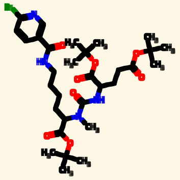 CN(C(=O)NC(CCC(=O)OC(C)(C)C)C(=O)OC(C)(C)C)C(CCCCNC(=O)c1ccc(Br)nc1)C(=O)OC(C)(C)C